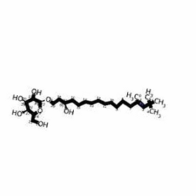 C/C(=C\C(C)(C)C)CCCCCCCCCC[C@@H](O)CCO[C@@H]1OC(CO)[C@@H](O)[C@H](O)C1O